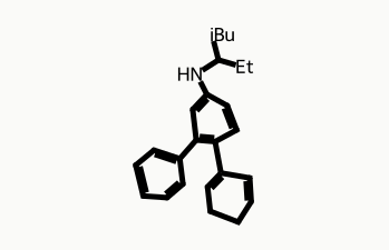 CCC(C)C(CC)Nc1ccc(C2=CCCC=C2)c(-c2ccccc2)c1